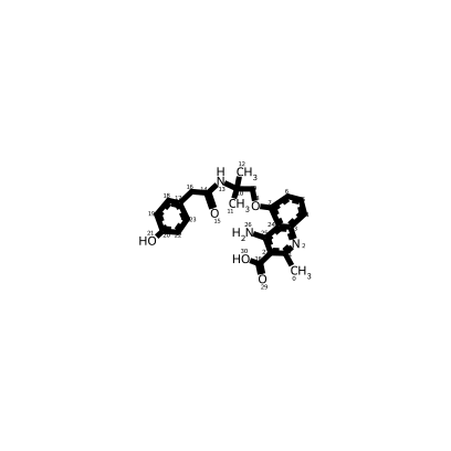 Cc1nc2cccc(OCC(C)(C)NC(=O)Cc3ccc(O)cc3)c2c(N)c1C(=O)O